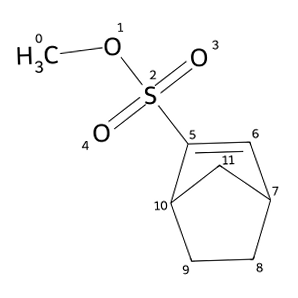 COS(=O)(=O)C1=CC2CCC1C2